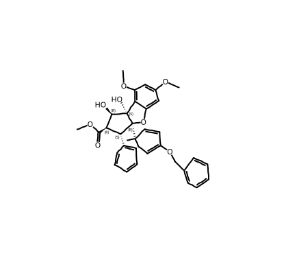 COC(=O)[C@@H]1[C@@H](c2ccccc2)[C@]2(C3(C)C=CC(OCc4ccccc4)=CC3)Oc3cc(OC)cc(OC)c3[C@]2(O)[C@@H]1O